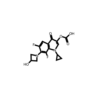 O=C(O)Oc1cn(C2CC2)c2c(F)c(N3CC(O)C3)c(F)cc2c1=O